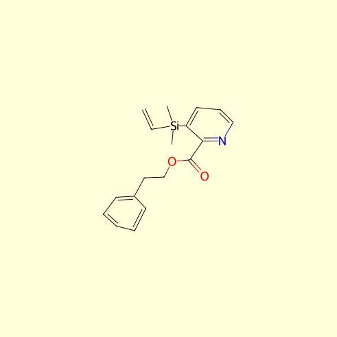 C=C[Si](C)(C)c1cccnc1C(=O)OCCc1ccccc1